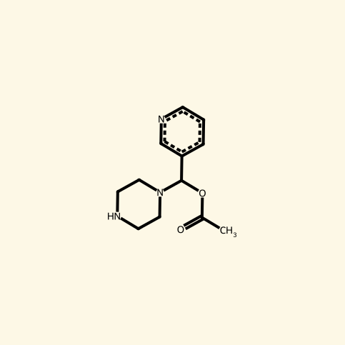 CC(=O)OC(c1cccnc1)N1CCNCC1